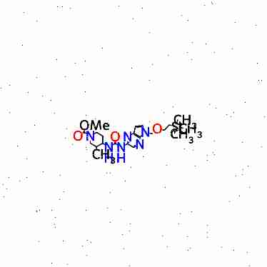 COC(=O)N1CCC(NC(=O)Nc2cnc3c(ccn3COCC[Si](C)(C)C)n2)C(C)C1